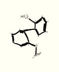 CCCCCCCCCCOc1ccccc1-c1ccccc1C(=O)O